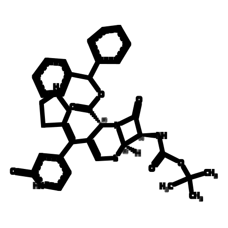 CC(C)(C)OC(=O)N[C@@H]1C(=O)N2[C@@H](C(=O)OC(c3ccccc3)c3ccccc3)C(C(=C3CCNC3)c3cc[nH]c(=O)c3)=CS[C@H]12